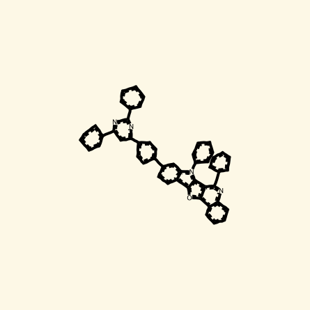 c1ccc(-c2cc(-c3ccc(-c4ccc5c6oc7c8ccccc8nc(-c8ccccc8)c7c6n(-c6ccccc6)c5c4)cc3)nc(-c3ccccc3)n2)cc1